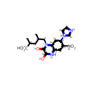 CC(CC(C)C(=O)O)Cn1c(=O)c(=O)[nH]c2cc([N+](=O)[O-])c(-n3ccnc3)cc21